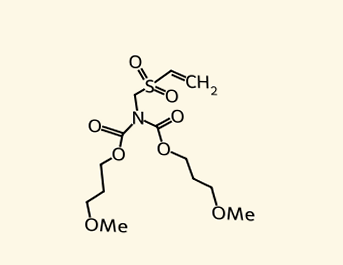 C=CS(=O)(=O)CN(C(=O)OCCCOC)C(=O)OCCCOC